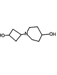 OC1CCN(C2CC(O)C2)CC1